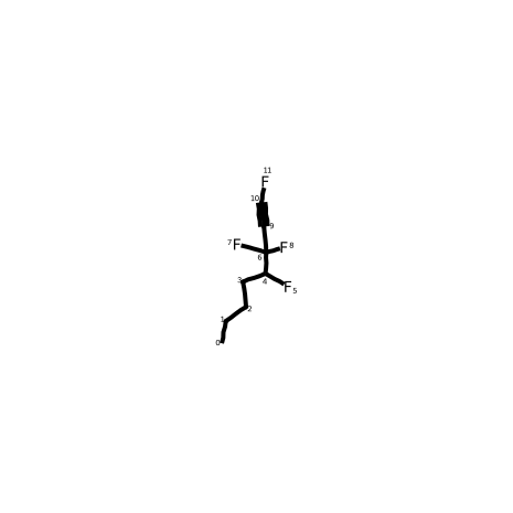 CCCCC(F)C(F)(F)C#CF